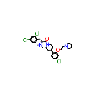 CN(C)[C@H](Cc1ccc(Cl)cc1Cl)C(=O)N1CCC(c2ccc(Cl)cc2OCCN2CCCC2)CC1